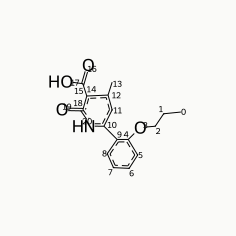 CCCOc1ccccc1-c1cc(C)c(C(=O)O)c(=O)[nH]1